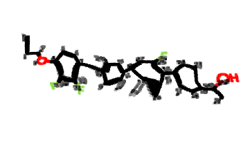 C=CCOc1ccc(-c2ccc(-c3ccc(C4=CCC(C(C)O)CC4)c(F)c3)cc2)c(F)c1F